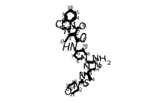 Cc1c(C(=O)NC2CCN(c3nc(-c4csc(N5CCOCC5)n4)cnc3N)CC2)c(=O)n(-c2ccccc2Cl)n1C